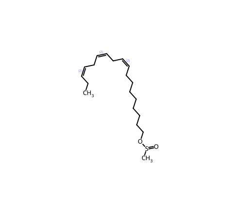 CC/C=C\C/C=C\C/C=C\CCCCCCCCOS(C)=O